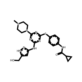 CN1CCN(c2nc(Nc3cc(CO)[nH]n3)nc(Sc3ccc(NC(=O)C4CC4)cc3)n2)CC1